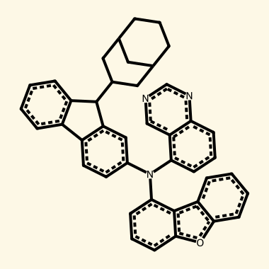 c1ccc2c(c1)-c1ccc(N(c3cccc4ncncc34)c3cccc4oc5ccccc5c34)cc1C2C1CC2CCCC(C2)C1